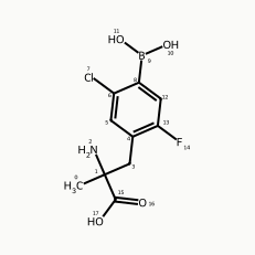 CC(N)(Cc1cc(Cl)c(B(O)O)cc1F)C(=O)O